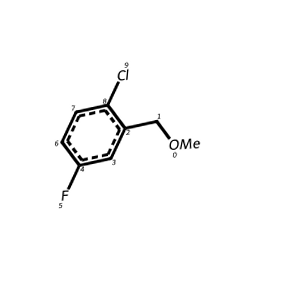 COCc1cc(F)ccc1Cl